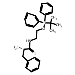 C[C@@H](Cc1ccccc1)C(=O)NCCO[Si](c1ccccc1)(c1ccccc1)C(C)(C)C